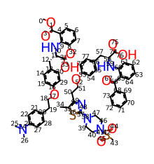 COC(=O)c1ccccc1N[C@@H](Cc1ccc(OCCc2ccc(N(C)C)cc2)cc1)C(=O)O.Cc1sc(N2CCN(S(C)(=O)=O)CC2)nc1CCOc1ccc(C[C@H](Nc2ccccc2C(=O)c2ccccc2)C(=O)O)cc1